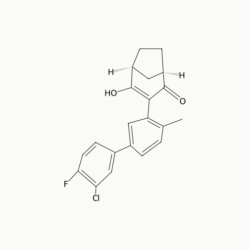 Cc1ccc(-c2ccc(F)c(Cl)c2)cc1C1=C(O)[C@H]2CC[C@H](C2)C1=O